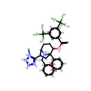 C=C(OC1CCC2C(c3nnnn3C)CC1(c1ccccc1)N2Cc1ccccc1)c1cc(C(F)(F)F)cc(C(F)(F)F)c1